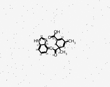 CC1=CC(C)(C(=O)O)CC(C(=O)O)=C1.c1ccc2[nH]cnc2c1